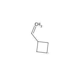 C=CC1C[CH]C1